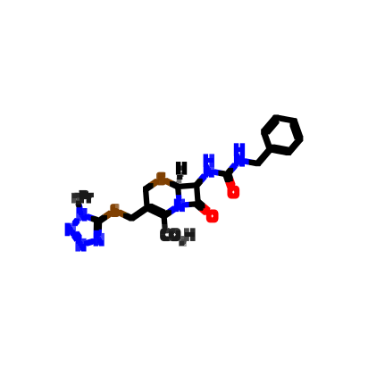 CCCn1nnnc1SCC1=C(C(=O)O)N2C(=O)C(NC(=O)NCc3ccccc3)[C@@H]2SC1